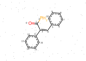 O=C(P)C(=Cc1ccccc1)c1ccccc1